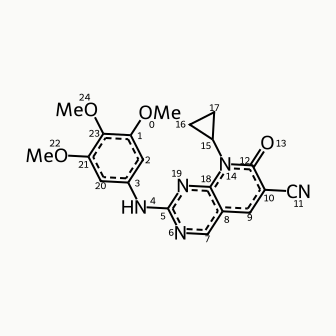 COc1cc(Nc2ncc3cc(C#N)c(=O)n(C4CC4)c3n2)cc(OC)c1OC